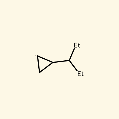 CCC(CC)C1[CH]C1